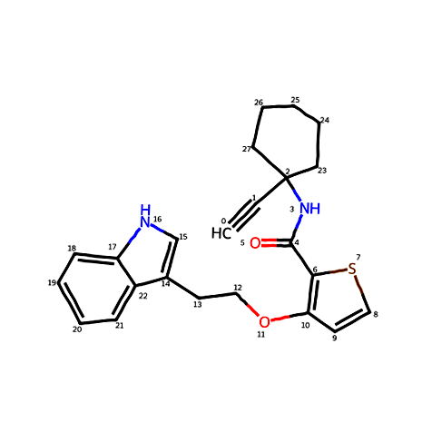 C#CC1(NC(=O)c2sccc2OCCc2c[nH]c3ccccc23)CCCCC1